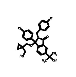 CC(C)(O)c1ccc2c(c1)C(=O)N(Cc1ccc(Cl)cc1)C2(OCC1(CO)CC1)c1ccc(Cl)cc1